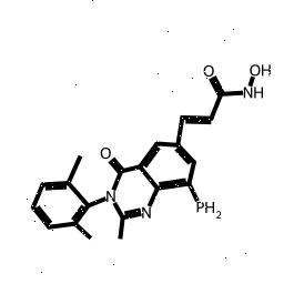 Cc1cccc(C)c1-n1c(C)nc2c(P)cc(/C=C/C(=O)NO)cc2c1=O